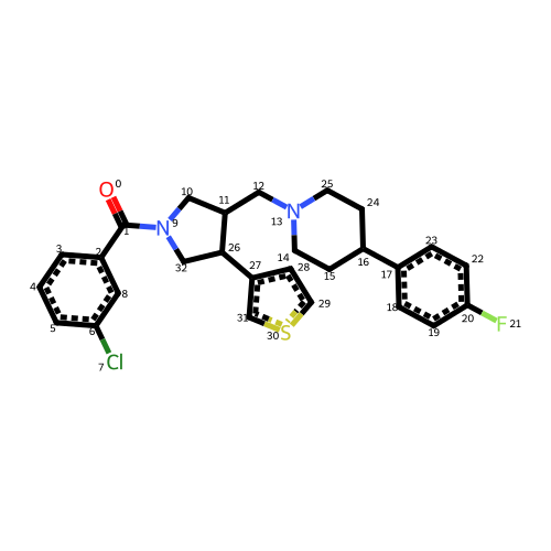 O=C(c1cccc(Cl)c1)N1CC(CN2CCC(c3ccc(F)cc3)CC2)C(c2ccsc2)C1